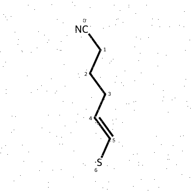 N#CCCCC=C[S]